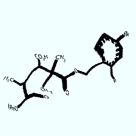 COC(=O)C(C)C(C(=O)O)C(C)(C)C(=O)OCc1ccc(Br)cc1F